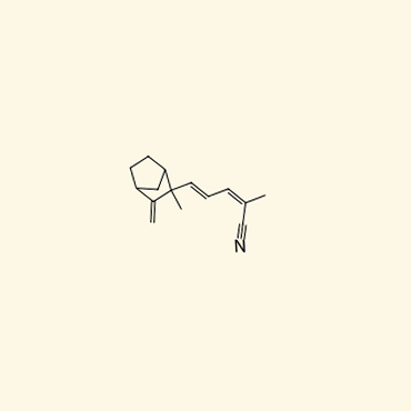 C=C1C2CCC(C2)C1(C)C=CC=C(C)C#N